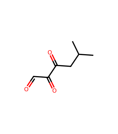 CC(C)CC(=O)C(=O)C=O